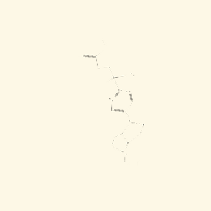 CC(C)(C)OC(=O)CCC(C)(C#N)c1ccc(N2CCC3C2CCN3C(=O)O)cn1